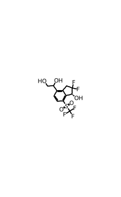 O=S(=O)(c1ccc(C(O)CO)c2c1[C@H](O)C(F)(F)C2)C(F)(F)F